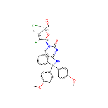 COc1ccc(C(Nc2ccn([C@@H]3O[C@@](C=O)(CCl)[C@@H](C)[C@H]3F)c(=O)n2)(c2ccccc2)c2ccc(OC)cc2)cc1